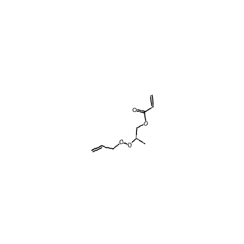 C=CCOOC(C)COC(=O)C=C